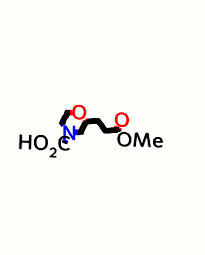 COC(=O)CCC1CN(C(=O)O)CCO1